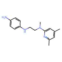 Cc1cc(C)nc(N(C)CCNc2ccc(N)cc2)c1